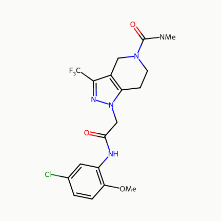 CNC(=O)N1CCc2c(c(C(F)(F)F)nn2CC(=O)Nc2cc(Cl)ccc2OC)C1